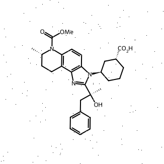 COC(=O)N1c2ccc3c(nc([C@@](C)(O)Cc4ccccc4)n3[C@@H]3CCC[C@@H](C(=O)O)C3)c2CC[C@@H]1C